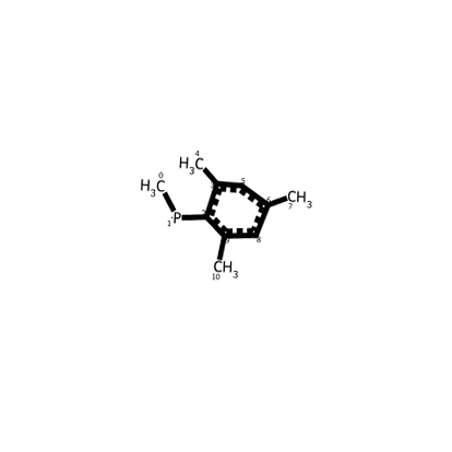 C[P]c1c(C)cc(C)cc1C